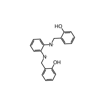 Oc1ccccc1C[N]c1ccccc1[N]Cc1ccccc1O